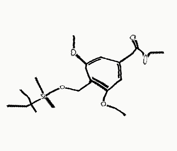 COC(=O)c1cc(OC)c(CO[Si](C)(C)C(C)(C)C)c(OC)c1